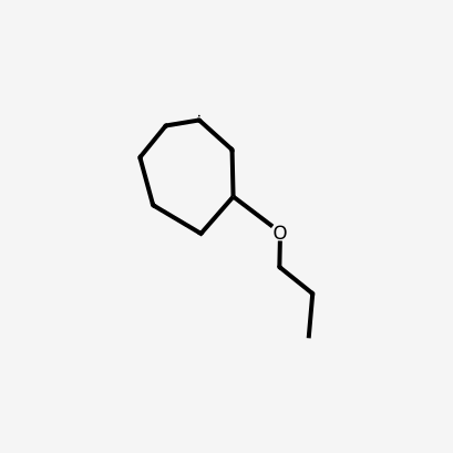 CCCOC1C[CH]CCCC1